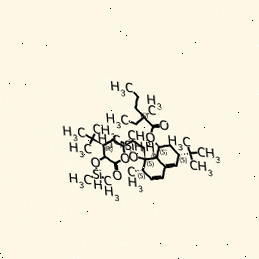 CCC[C@](C)(CC)C(=O)O[C@H]1C[C@H](C(C)(C)C)C=C2C=C[C@H](C)[C@](CC[C@@H]3C[C@H](C(C)(C)C)C(O[SiH](C)C)C(=O)O3)(O[SiH](C)C)[C@H]21